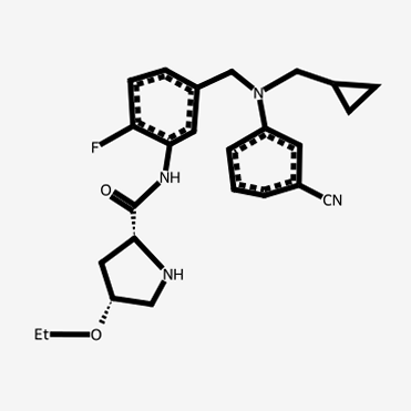 CCO[C@H]1CN[C@@H](C(=O)Nc2cc(CN(CC3CC3)c3cccc(C#N)c3)ccc2F)C1